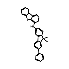 CC1(C)c2ccc(Nc3cccc4c3sc3ccccc34)cc2-c2ccc(-c3ccccc3)cc21